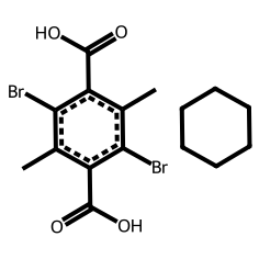 C1CCCCC1.Cc1c(Br)c(C(=O)O)c(C)c(Br)c1C(=O)O